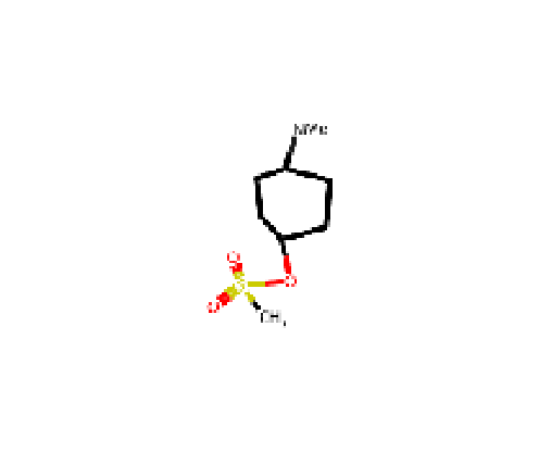 CNC1CCC(OS(C)(=O)=O)CC1